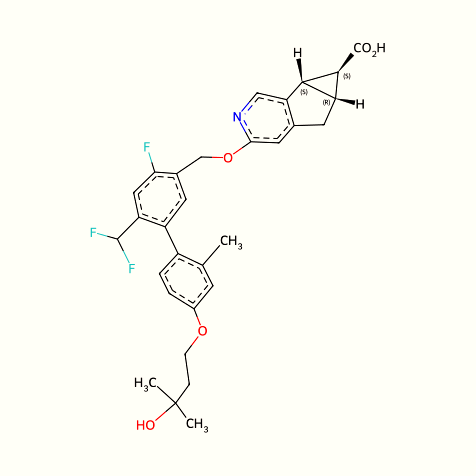 Cc1cc(OCCC(C)(C)O)ccc1-c1cc(COc2cc3c(cn2)[C@H]2[C@@H](C3)[C@@H]2C(=O)O)c(F)cc1C(F)F